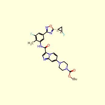 Cc1c(F)cc(-c2noc([C@@H]3C[C@H]3F)n2)cc1NC(=O)c1cnc2cc(N3CCN(C(=O)OC(C)(C)C)CC3)ccn12